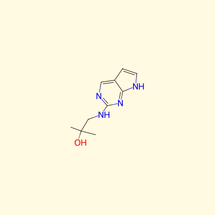 CC(C)(O)CNc1ncc2cc[nH]c2n1